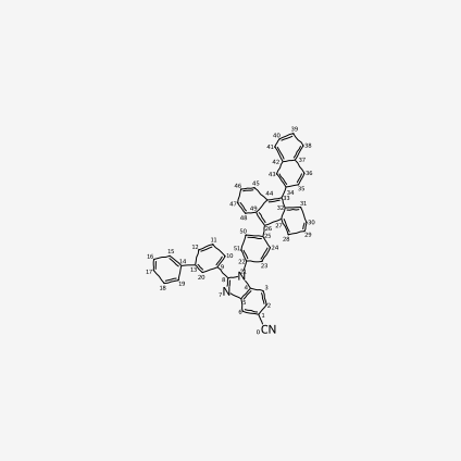 N#Cc1ccc2c(c1)nc(-c1cccc(-c3ccccc3)c1)n2-c1ccc(-c2c3ccccc3c(-c3ccc4ccccc4c3)c3ccccc23)cc1